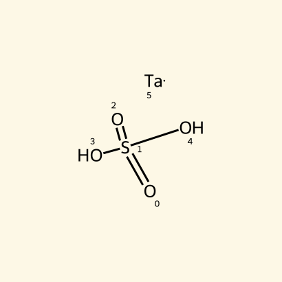 O=S(=O)(O)O.[Ta]